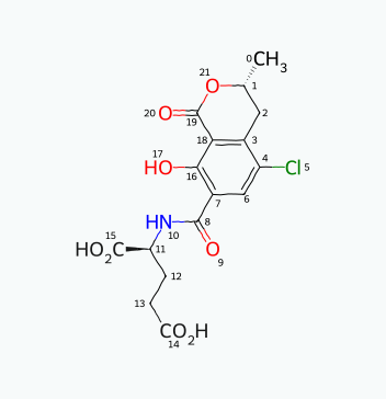 C[C@@H]1Cc2c(Cl)cc(C(=O)N[C@@H](CCC(=O)O)C(=O)O)c(O)c2C(=O)O1